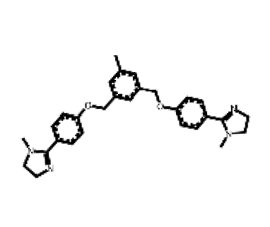 Cc1cc(COc2ccc(C3=NCCN3C)cc2)cc(COc2ccc(C3=NCCN3C)cc2)c1